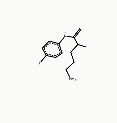 C=C(Nc1ccc(F)cc1)C(C)CCCN